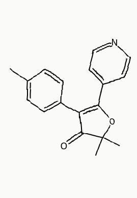 Cc1ccc(C2=C(c3ccncc3)OC(C)(C)C2=O)cc1